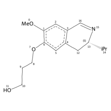 COc1cc2c(cc1OCCCO)C[C@@H](C(C)C)N=C2